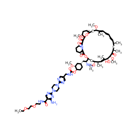 CCOCCOCCNC(=O)c1cnc(N2CCN(c3ncc(CNC(=O)O[C@@H]4CC[C@@H](C[C@@H](N)[C@@H]5C[C@@H](OC)[C@H](C)/C=C(\C)[C@@H](O)[C@@H](OC)C(=O)[C@H](C)C[C@H](C)/C=C/C=C/C=C(\C)[C@@H](OC)C[C@@H]6CC[C@@H](C)[C@@](O)(O6)C(=O)C(=O)N6CCCC[C@H]6C(=O)O5)C[C@H]4OC)cn3)CC2)nc1N